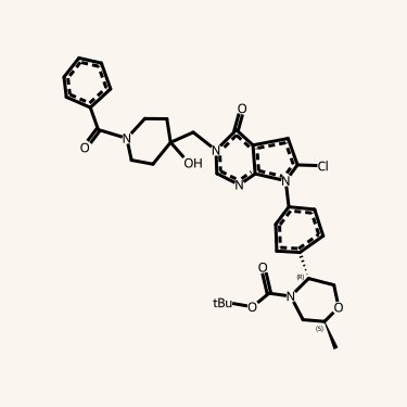 C[C@H]1CN(C(=O)OC(C)(C)C)[C@H](c2ccc(-n3c(Cl)cc4c(=O)n(CC5(O)CCN(C(=O)c6ccccc6)CC5)cnc43)cc2)CO1